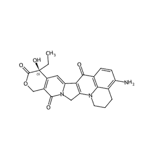 CC[C@@]1(O)C(=O)OCc2c1cc1n(c2=O)Cc2c-1c(=O)c1ccc(N)c3c1n2CCC3